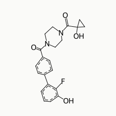 O=C(c1ccc(-c2cccc(O)c2F)cc1)N1CCN(C(=O)C2(O)CC2)CC1